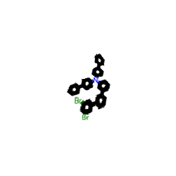 Brc1cc(Br)cc(-c2cccc(-c3cccc(N(c4ccc(-c5ccccc5)cc4)c4ccc(-c5ccccc5)cc4)c3)c2)c1